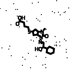 CN1C(=O)N(/N=C/C(O)C2CCCCC2)C2CC(SCCCC(=O)O)CC21